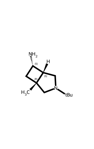 CC(C)(C)N1C[C@H]2[C@@H](N)C[C@@]2(C)C1